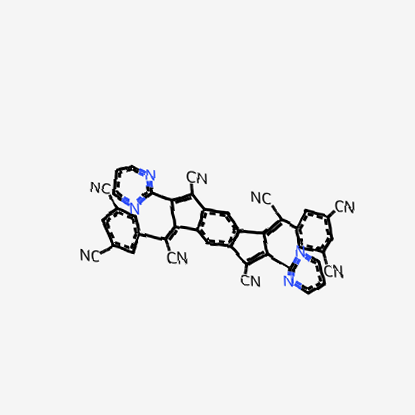 N#CC1=C(c2ncccn2)/C(=C(/C#N)c2cc(C#N)cc(C#N)c2)c2cc3c(cc21)/C(=C(\C#N)c1cc(C#N)cc(C#N)c1)C(c1ncccn1)=C3C#N